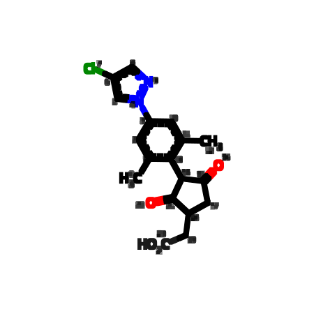 Cc1cc(-n2cc(Cl)cn2)cc(C)c1C1C(=O)CC(CC(=O)O)C1=O